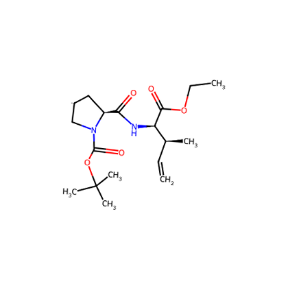 C=C[C@H](C)[C@@H](NC(=O)[C@@H]1C[CH]CN1C(=O)OC(C)(C)C)C(=O)OCC